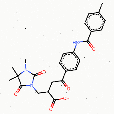 Cc1ccc(C(=O)Nc2ccc(C(=O)CC(CN3C(=O)N(C)C(C)(C)C3=O)C(=O)O)cc2)cc1